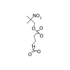 CC(C)(COS(=O)(=O)CCC[SH](=O)=O)[N+](=O)[O-]